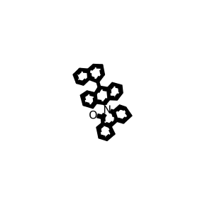 O=c1c2ccccc2c2ccccc2n1-c1c2ccccc2c(-c2cccc3ccccc23)c2ccccc12